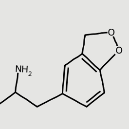 CC(N)Cc1ccc2c(c1)COO2